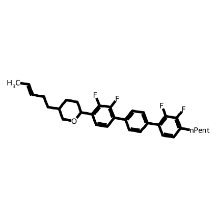 C/C=C/CCC1CCC(c2ccc(-c3ccc(-c4ccc(CCCCC)c(F)c4F)cc3)c(F)c2F)OC1